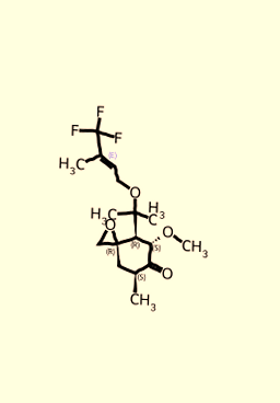 CO[C@@H]1C(=O)[C@@H](C)C[C@]2(CO2)[C@H]1C(C)(C)OC/C=C(\C)C(F)(F)F